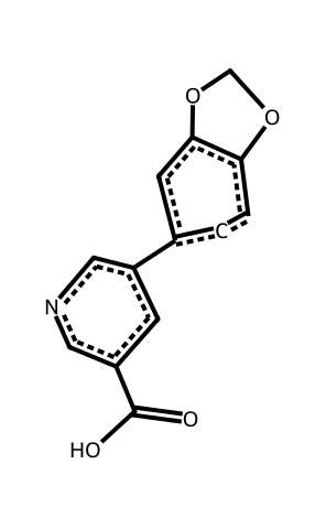 O=C(O)c1cncc(-c2ccc3c(c2)OCO3)c1